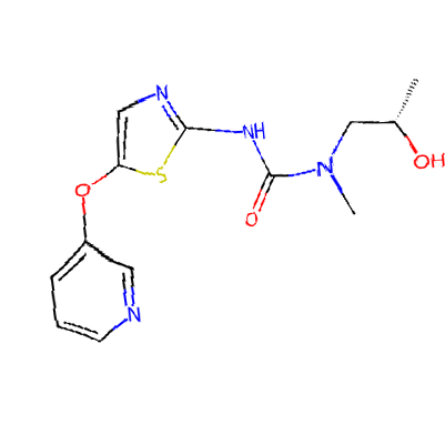 C[C@H](O)CN(C)C(=O)Nc1ncc(Oc2cccnc2)s1